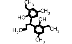 C=CCC(c1cc(C)cc(CC)c1O)c1cc(C)cc(CC)c1O